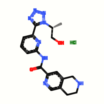 C[C@H](CO)n1nnnc1-c1cccc(NC(=O)c2cc3c(cn2)CCNC3)n1.Cl